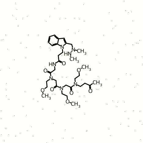 CNN(C)Cc1cc2ccccc2n1CCC(=O)NCC(=O)N(CCOC)CC(=O)N(CCOC)CC(=O)N(CCOC)CCC(C)=O